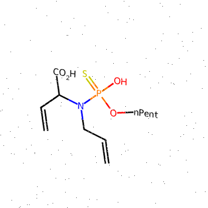 C=CCN(C(C=C)C(=O)O)P(O)(=S)OCCCCC